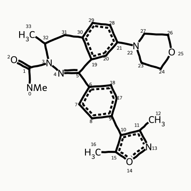 CNC(=O)N1N=C(c2ccc(-c3c(C)noc3C)cc2)c2cc(N3CCOCC3)ccc2CC1C